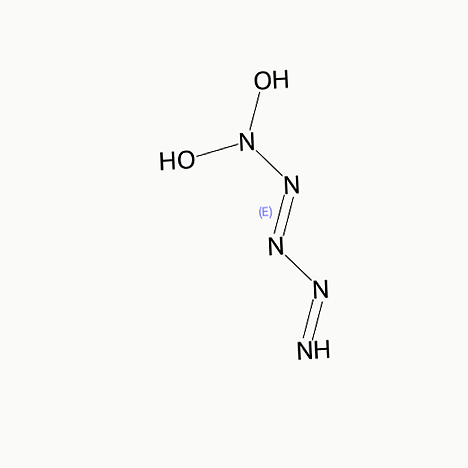 N=N/N=N/N(O)O